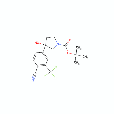 CC(C)(C)OC(=O)N1CCC(O)(c2ccc(C#N)c(C(F)(F)F)c2)C1